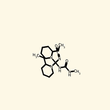 CCC1CCCCN1C(N=C=O)(NC(=O)NC)N1CCCCC1CC